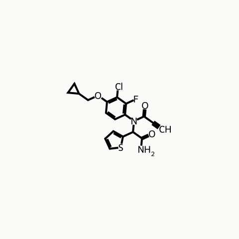 C#CC(=O)N(c1ccc(OCC2CC2)c(Cl)c1F)C(C(N)=O)c1cccs1